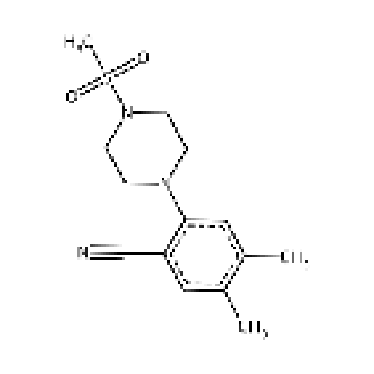 Cc1cc(C#N)c(N2CCN(S(C)(=O)=O)CC2)cc1C